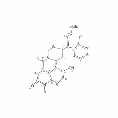 Cc1ncccc1/C(=N\OC(C)(C)C)C1CCC(N(C)c2cc(=O)n(C)c3ccc(C#N)nc23)CC1